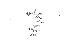 CC(C)(C=CS(=O)(=O)O)CC(C)(C)C(N)=O